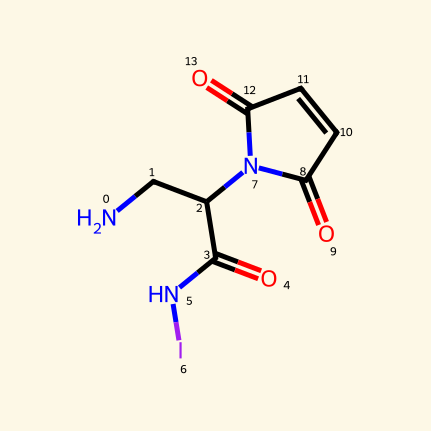 NCC(C(=O)NI)N1C(=O)C=CC1=O